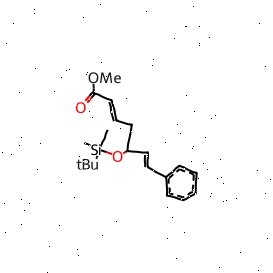 COC(=O)/C=C/CC(/C=C/c1ccccc1)O[Si](C)(C)C(C)(C)C